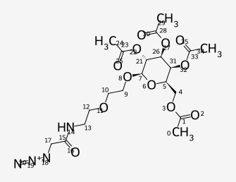 CC(=O)OC[C@H]1O[C@@H](OCCOCCNC(=O)CN=[N+]=[N-])[C@H](OC(C)=O)[C@@H](OC(C)=O)[C@H]1OC(C)=O